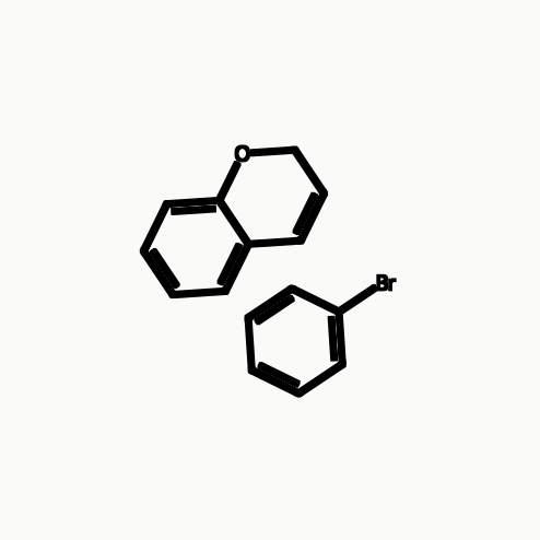 Brc1ccccc1.C1=Cc2ccccc2OC1